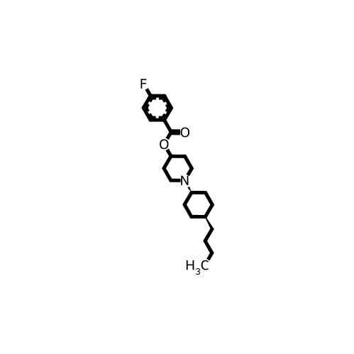 CCCC[C@H]1CC[C@H](N2CCC(OC(=O)c3ccc(F)cc3)CC2)CC1